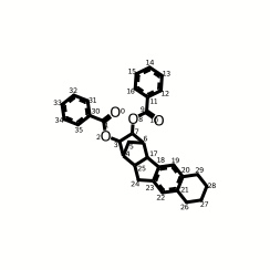 O=C(OC1C2CC(C1OC(=O)c1ccccc1)C1c3cc4c(cc3CC21)CCCC4)c1ccccc1